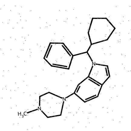 CN1CCN(c2ccc3ccn(C(c4ccccc4)C4CCCCC4)c3c2)CC1